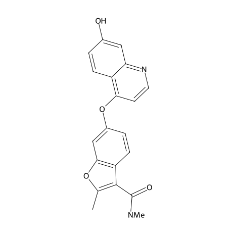 CNC(=O)c1c(C)oc2cc(Oc3ccnc4cc(O)ccc34)ccc12